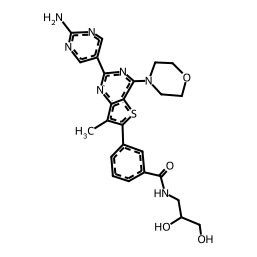 Cc1c(-c2cccc(C(=O)NCC(O)CO)c2)sc2c(N3CCOCC3)nc(-c3cnc(N)nc3)nc12